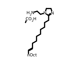 CC(=O)O.CCCCCCCCC=CCCCCCCCCC1=NCCN1CCN